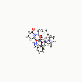 O=C(O)Cn1c(-c2nc3ccccc3n([C@@H]3C[C@H]4CC[C@@H](C3)N4C3C[C@H]4CCCC[C@@H](C3)C4)c2=O)cccc1=O